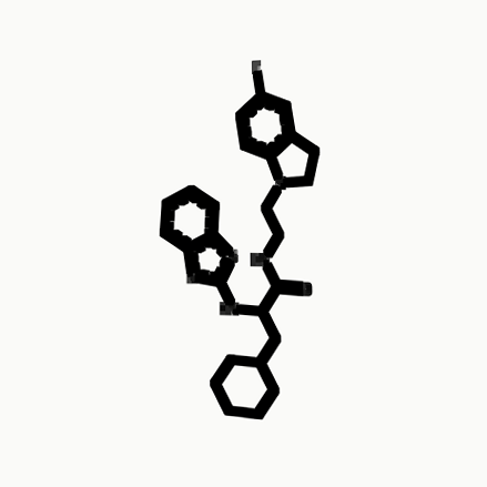 O=C(NCCN1CCc2cc(F)ccc21)C(CC1CCCCC1)Nc1nc2ccccc2s1